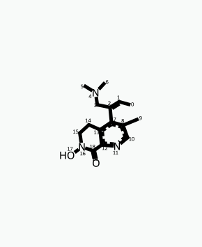 C/C=C(/CN(C)C)c1c(C)cnc2c1CCN(O)C2=O